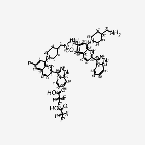 CC(C)(C)N(CC1CCN(c2cc(F)cc3ccc(-c4nnc5ccccn45)nc23)CC1)C(=O)O.NCC1CCN(c2cc(F)cc3ccc(-c4nnc5ccccn45)nc23)CC1.O=C(O)C(F)(F)F.O=C(O)C(F)(F)F